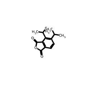 CC(C)c1ccc2c(c1C(C)C)C(=O)OC2=O